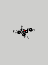 Cc1ccc(S(=O)(=O)N2/C(=N\C#N)NC[C@@H]2c2cccc(C(F)(F)F)c2)c(-c2ccc(Oc3ccc(Cl)cc3)cc2)c1